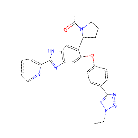 CCn1nnc(-c2ccc(Oc3cc4nc(-c5ccccn5)[nH]c4cc3C3CCCN3C(C)=O)cc2)n1